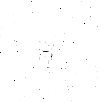 CCOC(=O)CC1(CC)OC(O)C=CC1=O.CCOC(=O)O